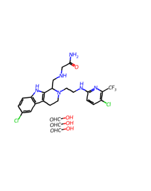 NC(=O)CNCC1c2[nH]c3ccc(Cl)cc3c2CCN1CCNc1ccc(Cl)c(C(F)(F)F)n1.O=CO.O=CO.O=CO